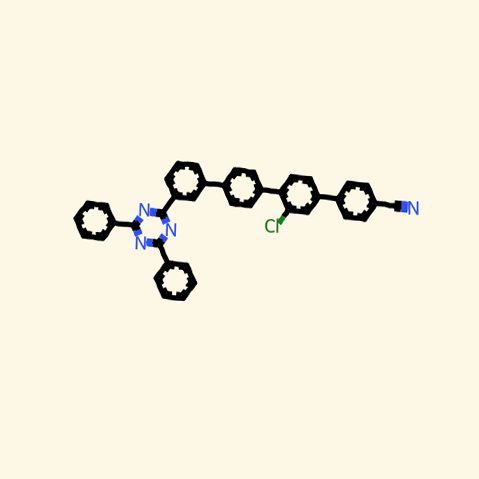 N#Cc1ccc(-c2ccc(-c3ccc(-c4cccc(-c5nc(-c6ccccc6)nc(-c6ccccc6)n5)c4)cc3)c(Cl)c2)cc1